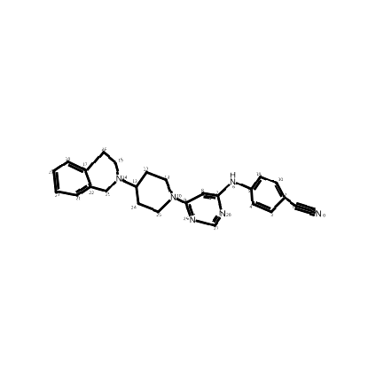 N#Cc1ccc(Nc2cc(N3CCC(N4CCc5ccccc5C4)CC3)ncn2)cc1